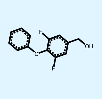 OCc1cc(F)c(Oc2ccccc2)c(F)c1